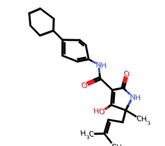 CC(C)=CCC1(C)NC(=O)C(C(=O)Nc2ccc(C3CCCCC3)cc2)=C1O